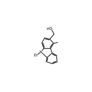 CCn1c2ccccc2c2c(C)c(CO)ccc21